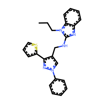 CCCn1c(NCc2cn(-c3ccccc3)nc2-c2cccs2)nc2ccccc21